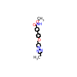 CCONC(=O)C1CC=C(c2ccc(OCC3CCN(c4ncc(CC)cn4)CC3)cc2)CC1